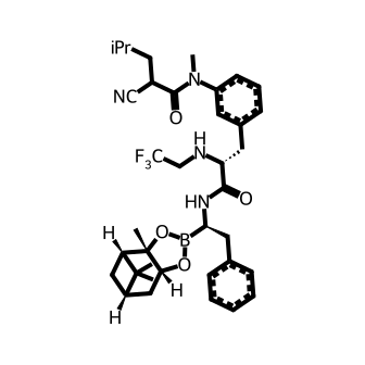 CC(C)CC(C#N)C(=O)N(C)c1cccc(C[C@@H](NCC(F)(F)F)C(=O)N[C@@H](Cc2ccccc2)B2O[C@@H]3C[C@@H]4C[C@@H](C4(C)C)[C@]3(C)O2)c1